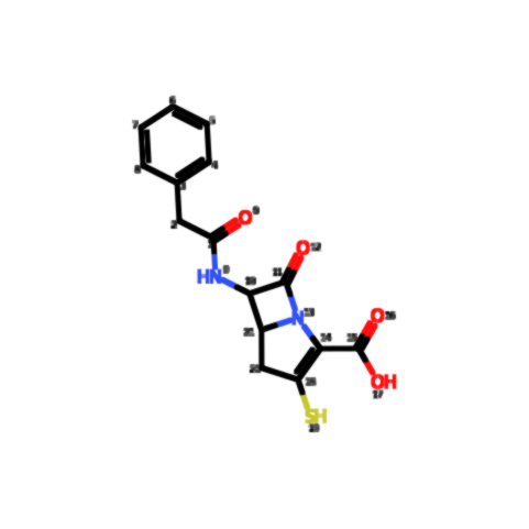 O=C(Cc1ccccc1)NC1C(=O)N2C(C(=O)O)=C(S)CC12